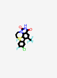 O=c1[nH]c(=O)n2c3c4c(c(C(F)(F)F)cc13)-c1cc(Cl)c(F)cc1S4(F)CCC2